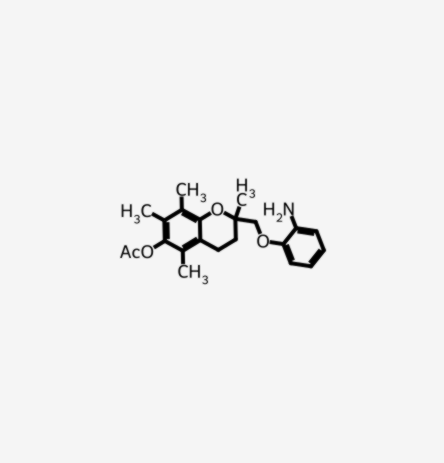 CC(=O)Oc1c(C)c(C)c2c(c1C)CCC(C)(COc1ccccc1N)O2